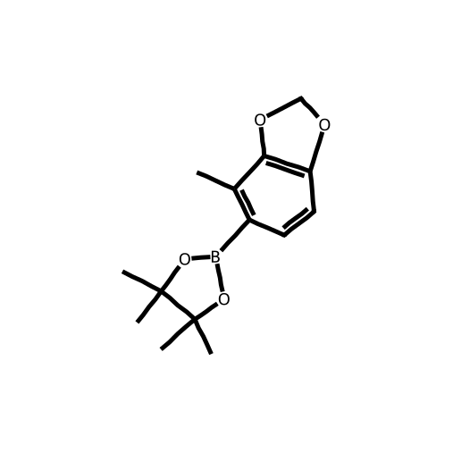 Cc1c(B2OC(C)(C)C(C)(C)O2)ccc2c1OCO2